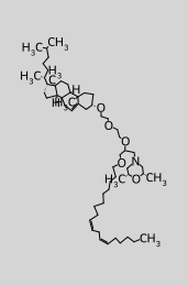 CCCCC/C=C\C/C=C\CCCCCCCCOCC(CN1C[C@@H](C)O[C@@H](C)C1)OCCOCCO[C@H]1CCC2(C)C(=CCC3[C@H]2CC[C@]2(C)[C@@H]([C@H](C)CCCC(C)C)CC[C@@H]32)C1